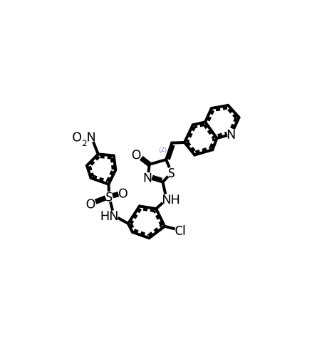 O=C1N=C(Nc2cc(NS(=O)(=O)c3ccc([N+](=O)[O-])cc3)ccc2Cl)S/C1=C\c1ccc2ncccc2c1